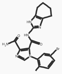 Cc1ccc(Br)cc1-n1cnc(C(N)=O)c1C(=O)Nc1nc2c([nH]1)CCCC2